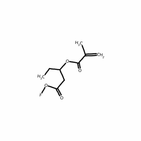 C=C(C)C(=O)OC(CC)CC(=O)OF